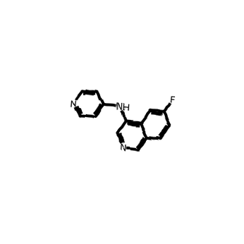 Fc1ccc2cncc(Nc3ccncc3)c2c1